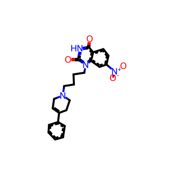 O=c1[nH]c(=O)n(CCCCN2CC=C(c3ccccc3)CC2)c2cc([N+](=O)[O-])ccc12